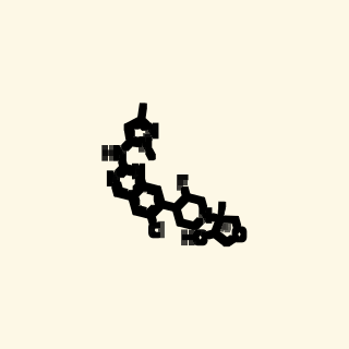 Cc1cc(Nc2ncc3cc(Cl)c(C4CCN([C@]5(C)COCC5O)CC4F)cc3n2)n(C)n1